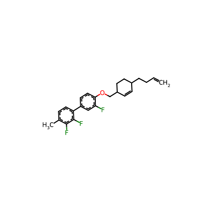 C=CCCC1C=CC(COc2ccc(-c3ccc(C)c(F)c3F)cc2F)CC1